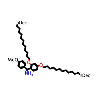 CCCCCCCCCCCCCCCCCCCCCCOc1ccc(C(N)c2ccc(OC)cc2)c(OCCCCCCCCCCCCCCCCCCCCCC)c1